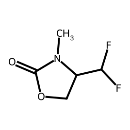 CN1C(=O)OCC1C(F)F